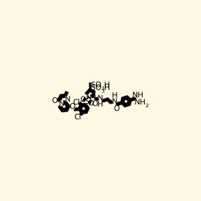 CS(=O)(=O)O.CS(=O)(=O)O.Cc1cc(=O)n2cccc(OCc3c(Cl)ccc(S(=O)(=O)N4CCC[C@H]4C(=O)NCCCNC(=O)c4ccc(C(=N)N)cc4)c3Cl)c2n1